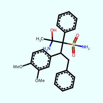 COc1ccc(C(Cc2ccccc2)C(c2ccccc2)(C(C)(N)O)S(N)(=O)=O)cc1OC